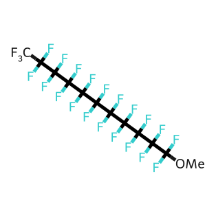 COC(F)(F)C(F)(F)C(F)(F)C(F)(F)C(F)(F)C(F)(F)C(F)(F)C(F)(F)C(F)(F)C(F)(F)C(F)(F)F